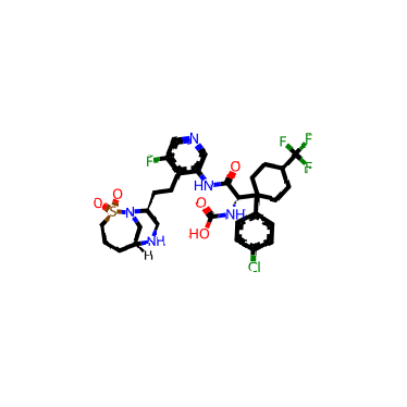 O=C(O)N[C@H](C(=O)Nc1cncc(F)c1CC[C@H]1CN[C@@H]2CCCS(=O)(=O)N1C2)C1(c2ccc(Cl)cc2)CCC(C(F)(F)F)CC1